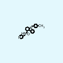 Cc1ccc(Cn2c3c(c4ccccc42)C(C(=O)NCc2ccncc2)CCC3)cc1